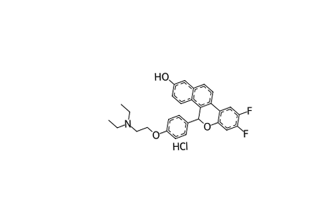 CCN(CC)CCOc1ccc(C2Oc3cc(F)c(F)cc3-c3ccc4cc(O)ccc4c32)cc1.Cl